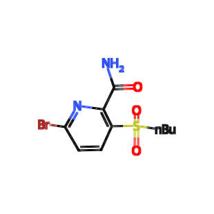 CCCCS(=O)(=O)c1ccc(Br)nc1C(N)=O